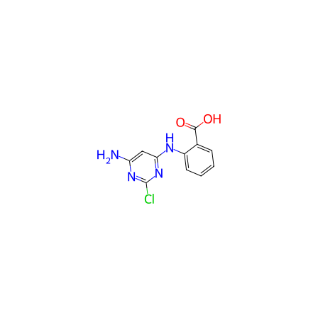 Nc1cc(Nc2ccccc2C(=O)O)nc(Cl)n1